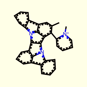 Cc1cc2c3ccccc3n3c2c(c1-c1cccc[n+]1C)c1c3c2cccc3c4ccccc4n1c32